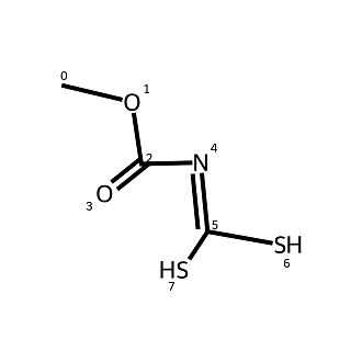 COC(=O)N=C(S)S